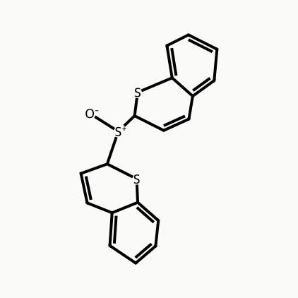 [O-][S+](C1C=Cc2ccccc2S1)C1C=Cc2ccccc2S1